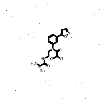 CCC(C)[C@H](N)C(=O)NCCN(C(=O)C(Cl)Cl)c1cccc(-c2ccno2)c1